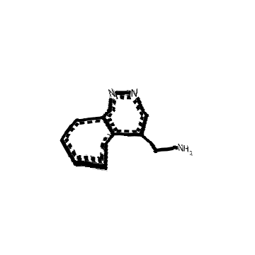 NCc1cnnc2ccccc12